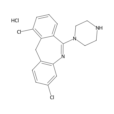 Cl.Clc1ccc2c(c1)N=C(N1CCNCC1)c1cccc(Cl)c1C2